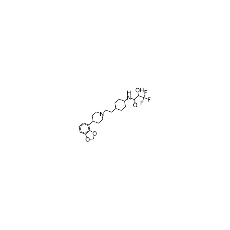 O=C(NC1CCC(CCN2CCC(c3cccc4c3OCO4)CC2)CC1)C(O)C(F)(F)F